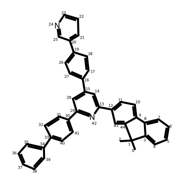 CC1(C)c2ccccc2-c2ccc(-c3cc(-c4ccc(-c5cccnc5)cc4)cc(-c4ccc(-c5ccccc5)cc4)n3)cc21